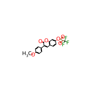 COc1ccc(-c2cc3ccc(OS(=O)(=O)C(F)(F)F)cc3oc2=O)cc1